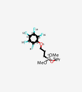 CO[Si](CCCOc1c(F)c(F)c(F)c(F)c1F)(OC)OC(C)C